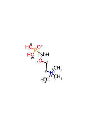 C[N+](C)(C)CC[O][SbH][P](=O)(O)O